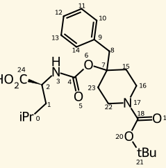 CC(C)C[C@H](NC(=O)OC1(Cc2ccccc2)CCN(C(=O)OC(C)(C)C)CC1)C(=O)O